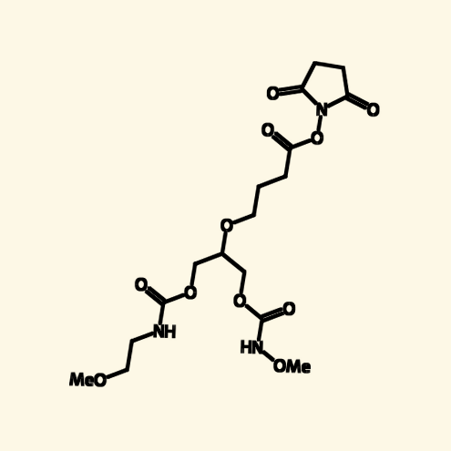 COCCNC(=O)OCC(COC(=O)NOC)OCCCC(=O)ON1C(=O)CCC1=O